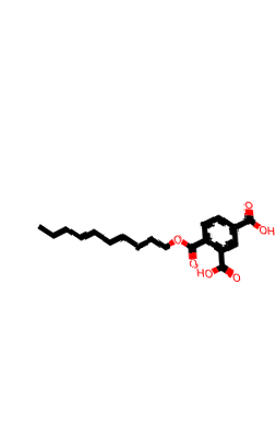 CCCCCCCCCCOC(=O)c1ccc(C(=O)O)cc1C(=O)O